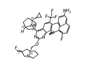 C#Cc1c(F)ccc2cc(N)cc(-c3c(C(F)(F)F)cc4c(N5C[C@@H]6CC[C@](C7CC7)(C5)N6)nc(OC[C@@]56CCCN5C/C(=C/F)C6)nc4c3F)c12